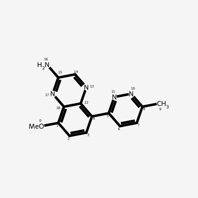 COc1ccc(-c2ccc(C)nn2)c2ncc(N)nc12